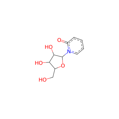 O=c1ccccn1C1OC(CO)C(O)C1O